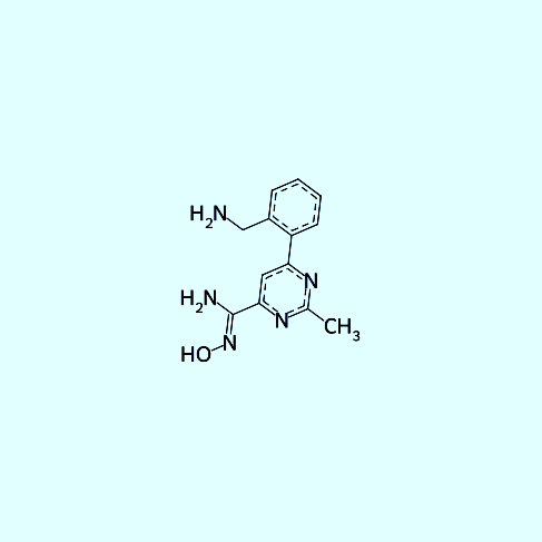 Cc1nc(C(N)=NO)cc(-c2ccccc2CN)n1